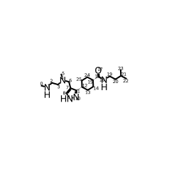 CNCCN(C)Cc1c[nH]nc1[C@H]1CC[C@@H](C(=O)NCCC(C)C)CC1